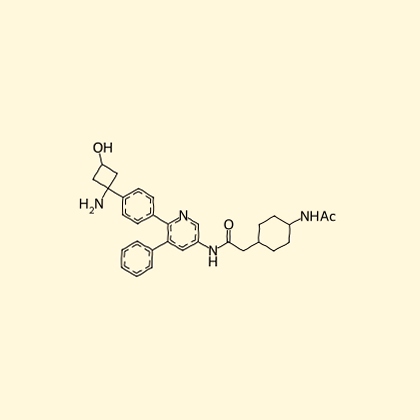 CC(=O)NC1CCC(CC(=O)Nc2cnc(-c3ccc(C4(N)CC(O)C4)cc3)c(-c3ccccc3)c2)CC1